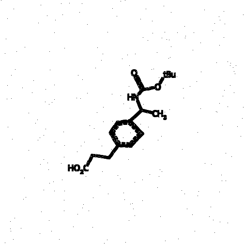 CC(NC(=O)OC(C)(C)C)c1ccc(CCC(=O)O)cc1